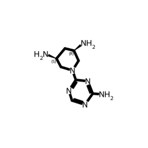 Nc1ncnc(N2C[C@H](N)C[C@H](N)C2)n1